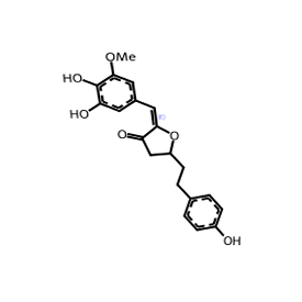 COc1cc(/C=C2/OC(CCc3ccc(O)cc3)CC2=O)cc(O)c1O